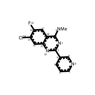 CNc1nc(-c2cccnc2)nc2cc(Cl)c(F)cc12